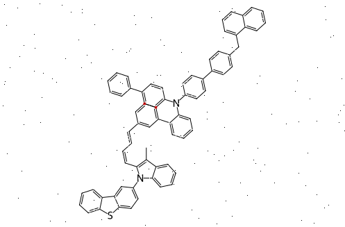 Cc1c(/C=C\C=C\c2cccc(-c3ccccc3N(c3ccc(-c4ccccc4)cc3)c3ccc(-c4ccc(Cc5cccc6ccccc56)cc4)cc3)c2)n(-c2ccc3sc4ccccc4c3c2)c2ccccc12